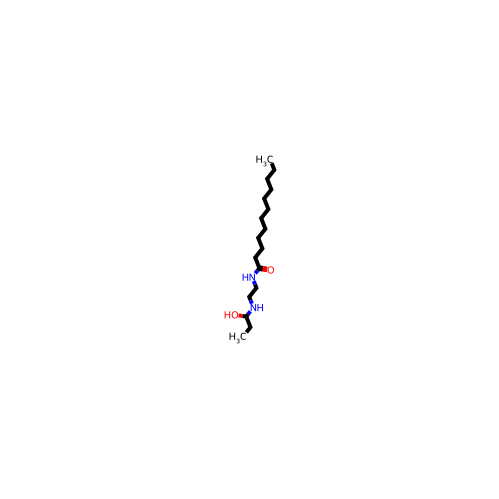 CCCCCCCCCCCC(=O)NCCNC(O)CC